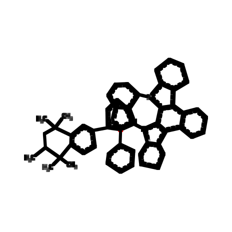 CC1CC(C)(C)c2cc(-c3cccc(-n4c5ccccc5c5c6ccccc6c6c7ccccc7n(-c7cccc8oc(-c9ccccc9)nc78)c6c54)c3)ccc2C1(C)C